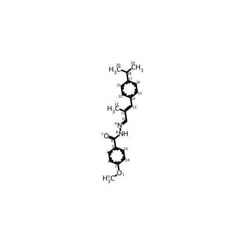 COc1ccc(C(=O)N/N=C/C(C)=C/c2ccc(C(C)C)cc2)cc1